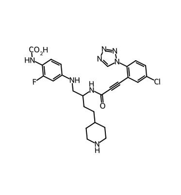 O=C(O)Nc1ccc(NCC(CCC2CCNCC2)NC(=O)C#Cc2cc(Cl)ccc2-n2cnnn2)cc1F